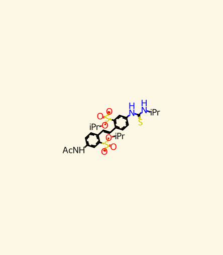 CC(=O)Nc1ccc(C=Cc2ccc(NC(=S)NC(C)C)cc2S(=O)(=O)OC(C)C)c(S(=O)(=O)OC(C)C)c1